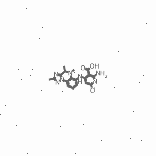 Cc1nc2n(n1)-c1cccc(Nc3cc(Cl)nc(N)c3C(=O)O)c1N(C)C2C